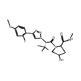 CNC(=O)C1CC(O)CN1C(=O)[C@@H](n1cc(-c2ccc(OC)cc2F)nn1)C(C)(C)C